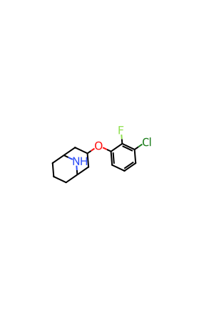 Fc1c(Cl)cccc1OC1CC2CCCC(C1)N2